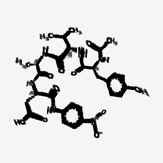 CC(=O)N[C@@H](Cc1ccc(O)cc1)C(=O)N[C@H](C(=O)N[C@@H](C)C(=O)N[C@@H](CC(=O)O)C(=O)Nc1ccc([N+](=O)[O-])cc1)C(C)C